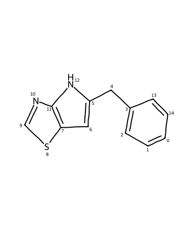 c1ccc(Cc2cc3scnc3[nH]2)cc1